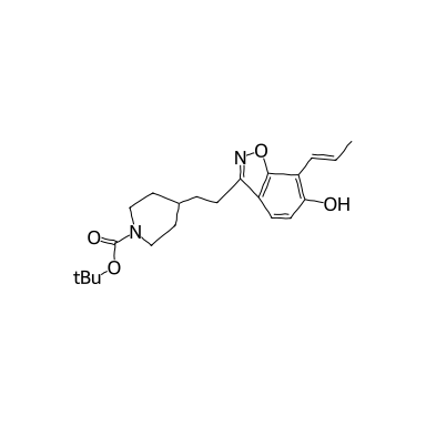 CC=Cc1c(O)ccc2c(CCC3CCN(C(=O)OC(C)(C)C)CC3)noc12